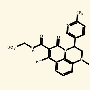 CN1CC(c2ccc(C(F)(F)F)nc2)n2c(=O)c(C(=O)NCC(=O)O)c(O)c3cccc1c32